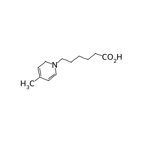 CC1=CCN(CCCCCC(=O)O)C=C1